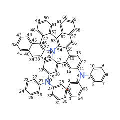 c1ccc(N(c2ccccc2)c2ccc3c(c2)-c2cc(N(c4ccccc4)c4ccccc4)ccc2N2c4ccc5ccccc5c4-c4ccccc4-c4c2c-3cc2ccccc42)cc1